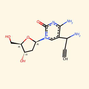 C#CC(N)c1cn([C@H]2C[C@H](O)[C@@H](CO)O2)c(=O)nc1N